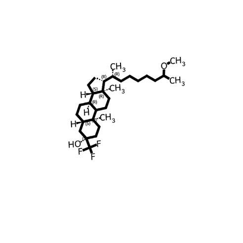 COC(C)CCCCC[C@@H](C)[C@H]1CC[C@H]2[C@@H]3CC[C@H]4C[C@](O)(C(F)(F)F)CC[C@]4(C)C3CC[C@]12C